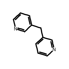 [c]1ncccc1Cc1cccnc1